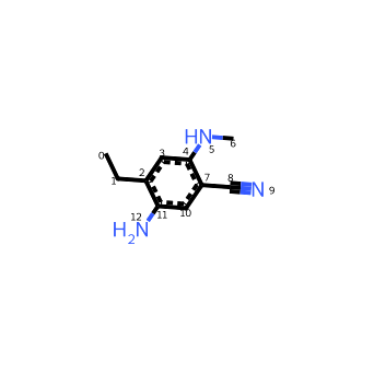 CCc1cc(NC)c(C#N)cc1N